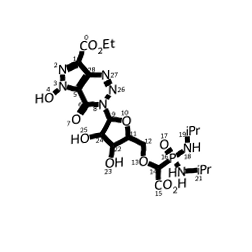 CCOC(=O)c1nn(O)c2c(=O)n(C3OC(COC(C(=O)O)P(=O)(NC(C)C)NC(C)C)C(O)C3O)nnc12